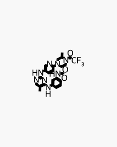 Cc1cnc(Nc2ccc(N3CCN(C(=O)C(F)(F)F)C(C)C3)nc2)nc1Nc1ccc2oc(=O)[nH]c2c1